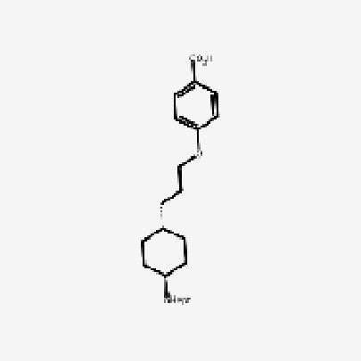 CCCCCCC[C@H]1CC[C@H](CCCOc2ccc(C(=O)O)cc2)CC1